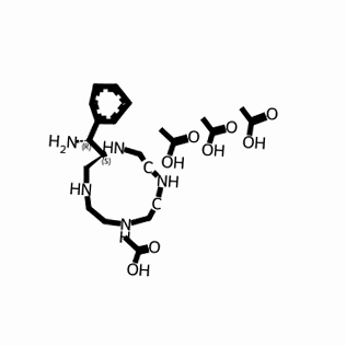 CC(=O)O.CC(=O)O.CC(=O)O.CC(=O)O.N[C@H](c1ccccc1)[C@@H]1CNCCNCCNCCN1